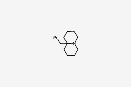 CC(C)CC12CCCCN1CCCC2